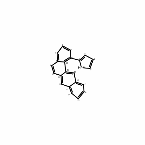 [c]1ccc(-c2cccc3ccc4cc5ccccc5cc4c23)[pH]1